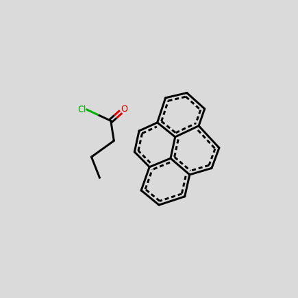 CCCC(=O)Cl.c1cc2ccc3cccc4ccc(c1)c2c34